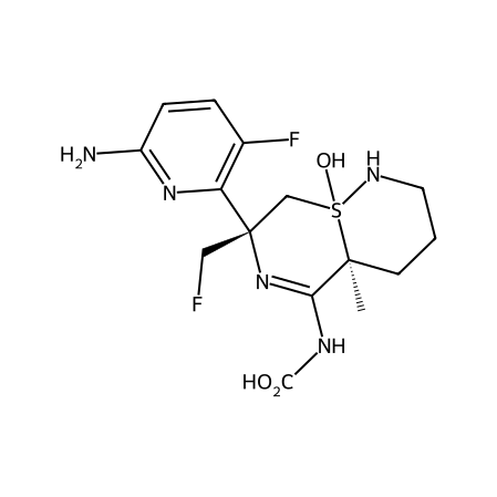 C[C@@]12CCCNS1(O)C[C@@](CF)(c1nc(N)ccc1F)N=C2NC(=O)O